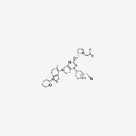 Cc1ccc2c(cnn2C2CCCCO2)c1N1CCc2c(nc(OC[C@@H]3CCCN3CC(F)F)nc2N2CCN[C@@H](CC#N)C2)C1